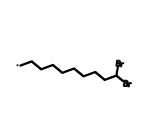 [CH2]CCCCCCCCC(Br)Br